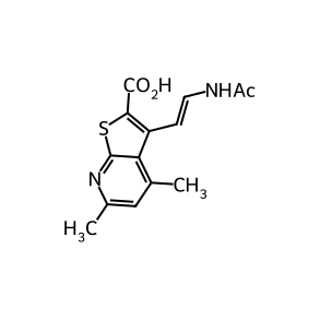 CC(=O)NC=Cc1c(C(=O)O)sc2nc(C)cc(C)c12